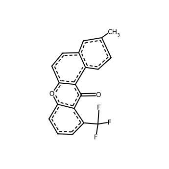 Cc1ccc2c(ccc3oc4cccc(C(F)(F)F)c4c(=O)c32)c1